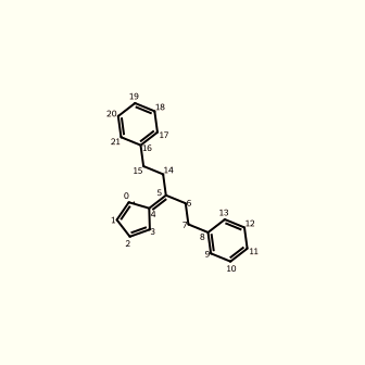 [C]1=CC=CC1=C(CCc1ccccc1)CCc1ccccc1